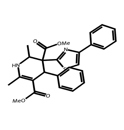 COC(=O)C1=C(C)NC(C)C(C(=O)OC)(c2nc(-c3ccccc3)cs2)C1c1ccccc1